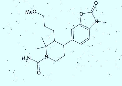 COCCCC1C(c2ccc3c(c2)oc(=O)n3C)CCN(C(N)=O)C1(C)C